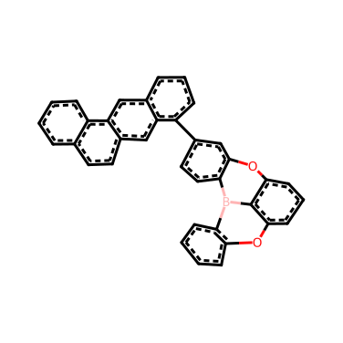 c1ccc2c(c1)Oc1cccc3c1B2c1ccc(-c2cccc4cc5c(ccc6ccccc65)cc24)cc1O3